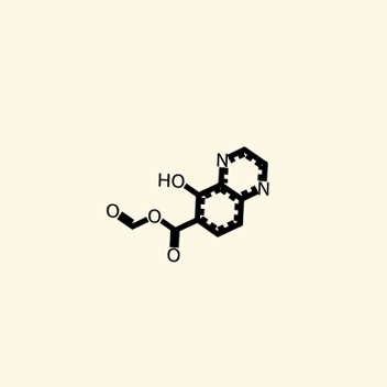 O=COC(=O)c1ccc2nccnc2c1O